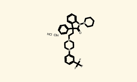 Cl.Cl.O=C1N(N2CCCCC2)c2ccccc2C1(CCN1CCN(c2cccc(C(F)(F)F)c2)CC1)c1ccccc1